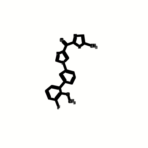 COc1c(F)cccc1-c1cccc(-n2cnc(C(=O)c3ncc(C)s3)c2)c1